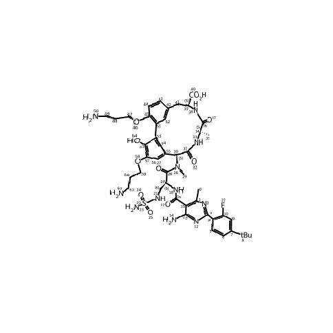 Cc1nc(-c2ccc(C(C)(C)C)cc2F)nc(N)c1C(=O)N[C@@H](CNS(N)(=O)=O)C(=O)N(C)[C@@H]1C(=O)N[C@@H](C)C(=O)N[C@H](C(=O)O)Cc2ccc(OCCCN)c(c2)-c2cc1cc(OCCCN)c2O